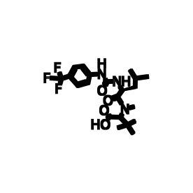 CC(C)C[C@H](NC(=O)Nc1ccc(C(F)(F)F)cc1)C(=O)N(C)C(C(=O)O)C(C)(C)C